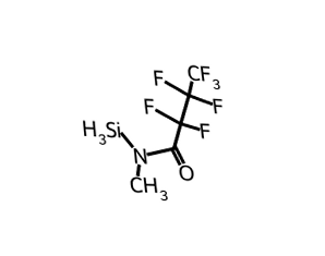 CN([SiH3])C(=O)C(F)(F)C(F)(F)C(F)(F)F